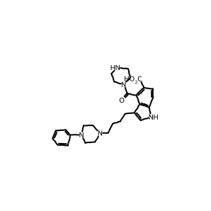 O=C(O)c1ccc2[nH]cc(CCCCN3CCN(c4ccccc4)CC3)c2c1C(=O)N1CCNCC1